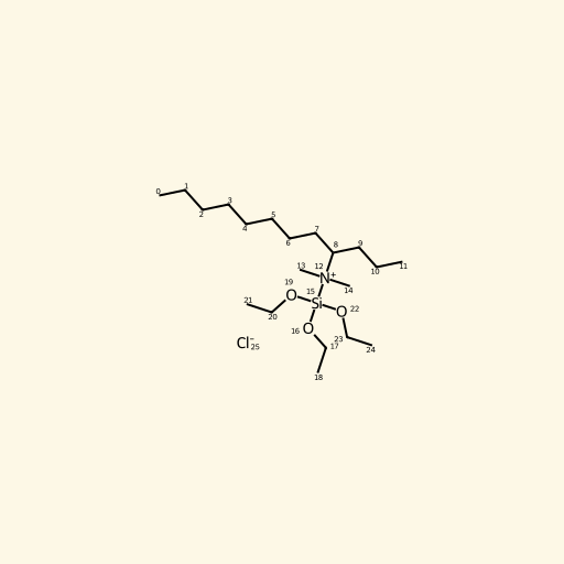 CCCCCCCCC(CCC)[N+](C)(C)[Si](OCC)(OCC)OCC.[Cl-]